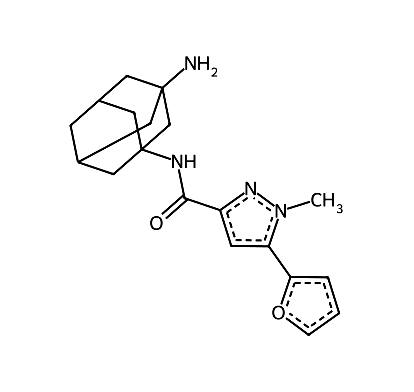 Cn1nc(C(=O)NC23CC4CC(CC(N)(C4)C2)C3)cc1-c1ccco1